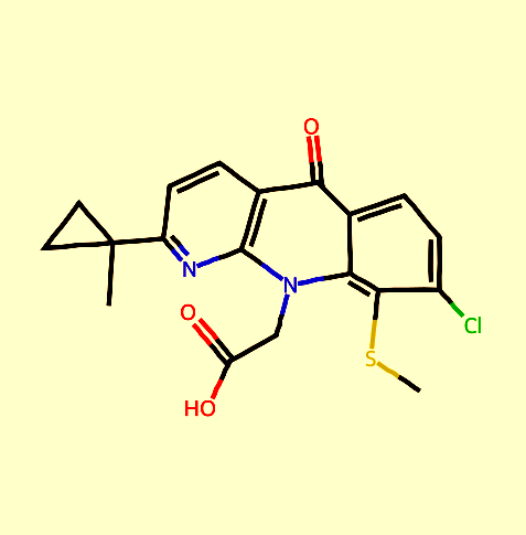 CSc1c(Cl)ccc2c(=O)c3ccc(C4(C)CC4)nc3n(CC(=O)O)c12